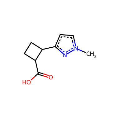 Cn1ccc(C2CCC2C(=O)O)n1